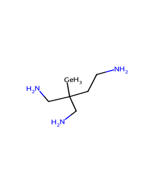 NCC[C]([GeH3])(CN)CN